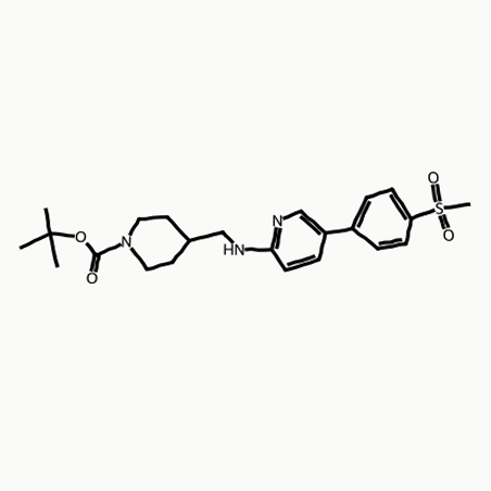 CC(C)(C)OC(=O)N1CCC(CNc2ccc(-c3ccc(S(C)(=O)=O)cc3)cn2)CC1